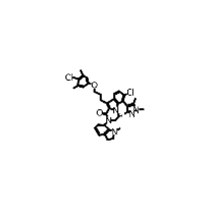 Cc1cc(OCCCc2c3n(c4c(-c5c(C)nn(C)c5C)c(Cl)ccc24)[C@H](C)CN(c2cccc4c2N(C)CC4)C3=O)cc(C)c1Cl